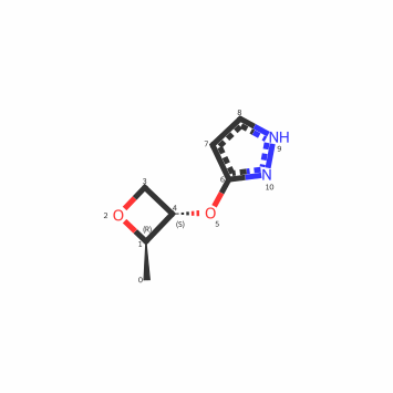 C[C@H]1OC[C@@H]1Oc1cc[nH]n1